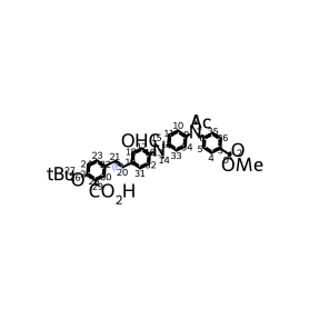 COC(=O)c1ccc(N(C(C)=O)c2ccc([N+](C)(C=O)c3ccc(/C=C/c4ccc(OC(C)(C)C)c(C(=O)O)c4)cc3)cc2)cc1